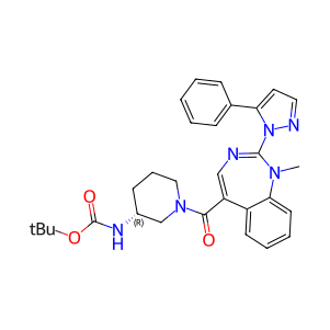 CN1C(n2nccc2-c2ccccc2)=NC=C(C(=O)N2CCC[C@@H](NC(=O)OC(C)(C)C)C2)c2ccccc21